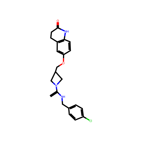 C=C(NCc1ccc(Cl)cc1)N1CC(COc2ccc3c(c2)CCC(=O)N3)C1